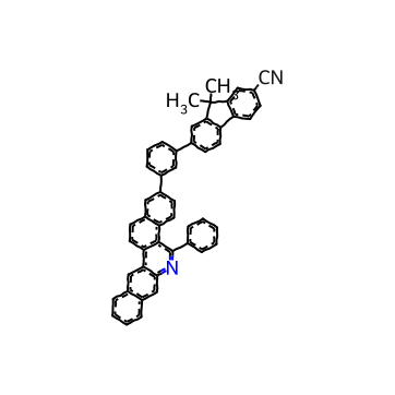 CC1(C)c2cc(C#N)ccc2-c2ccc(-c3cccc(-c4ccc5c(ccc6c7cc8ccccc8cc7nc(-c7ccccc7)c56)c4)c3)cc21